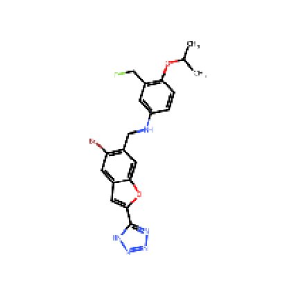 CC(C)Oc1ccc(NCc2cc3oc(-c4nnn[nH]4)cc3cc2Br)cc1CF